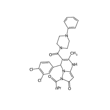 CCCC(=O)n1c(=O)cc2n1C(c1ccc(Cl)c(Cl)c1)C(C(=O)N1CCN(c3ccccc3)CC1)=C(C)N2